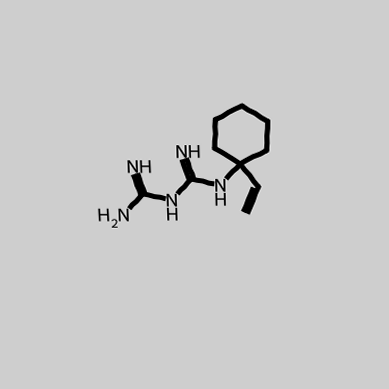 C=CC1(NC(=N)NC(=N)N)CCCCC1